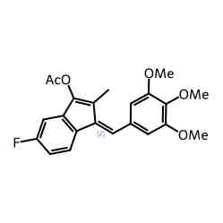 COc1cc(/C=C2\C(C)=C(OC(C)=O)c3cc(F)ccc32)cc(OC)c1OC